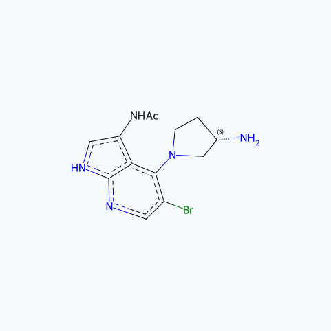 CC(=O)Nc1c[nH]c2ncc(Br)c(N3CC[C@H](N)C3)c12